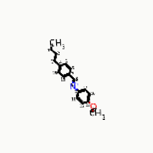 CCCCc1ccc(/C=N/c2ccc(OC)cc2)cc1